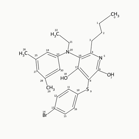 CCCCc1nc(O)c(Sc2ccc(Br)cc2)c(O)c1N(CC)c1cc(C)cc(C)c1